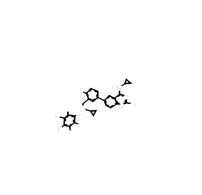 Cc1nc(NC2CC2)c2cc(-c3ccc(F)c(CN(C4CC4)S(=O)(=O)c4c(F)c(F)c(F)c(F)c4F)c3)ccc2n1